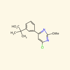 COc1nc(Cl)cc(-c2cccc(C(C)(C)C(=O)O)c2)n1